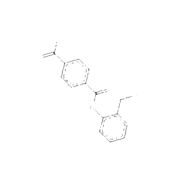 O=C(O)c1ccc(C(=O)Nc2ccccc2CO)cc1